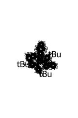 Cc1cc2c(cc1N1c3cc4c(cc3B3c5cc(C(C)(C)C)ccc5N(c5cccc6c5oc5ccccc56)c5cc(N(c6ccc(C(C)(C)C)cc6)c6ccc(C(C)(C)C)cc6)cc1c53)C(C)(C)c1ccccc1C4(C)C)C(C)(C)CCC2(C)C